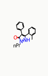 CCCn1[nH]c(-c2ccccc2C)c(-c2ccccc2)c1=O